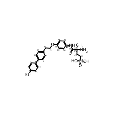 CCc1ccc(-c2ccc(CCOc3ccc(NC(=O)[C@@](C)(N)CCP(=O)(O)O)cc3)cc2)cc1